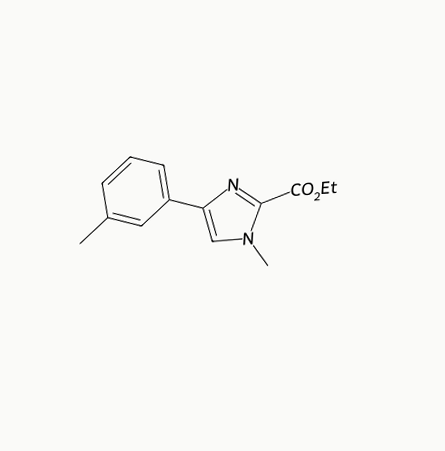 CCOC(=O)c1nc(-c2cccc(C)c2)cn1C